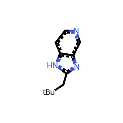 CC(C)(C)Cc1nc2cnccc2[nH]1